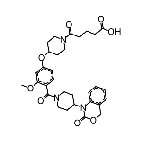 COc1cc(OC2CCN(C(=O)CCCC(=O)O)CC2)ccc1C(=O)N1CCC(N2C(=O)OCc3ccccc32)CC1